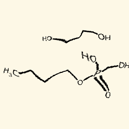 CCCCOP(=O)(O)O.OCCO